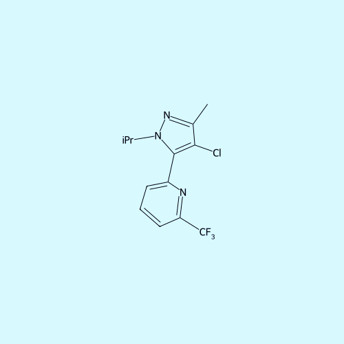 Cc1nn(C(C)C)c(-c2cccc(C(F)(F)F)n2)c1Cl